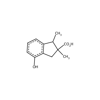 CC1c2cccc(O)c2CC1(C)C(=O)O